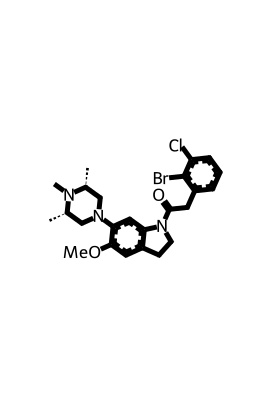 COc1cc2c(cc1N1C[C@@H](C)N(C)[C@@H](C)C1)N(C(=O)Cc1cccc(Cl)c1Br)CC2